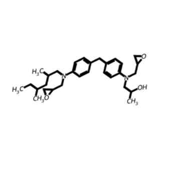 CCC(C)CC(C)CN(CC1CO1)c1ccc(Cc2ccc(N(CC(C)O)CC3CO3)cc2)cc1